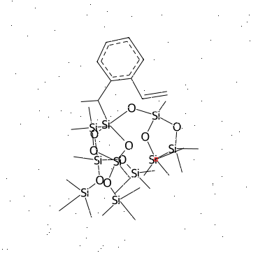 C=Cc1ccccc1C(C)[Si](O[Si](C)(O[Si](C)(C)C)O[Si](C)(C)C)(O[Si](C)(O[Si](C)(C)C)O[Si](C)(C)C)O[Si](C)(O[Si](C)(C)C)O[Si](C)(C)C